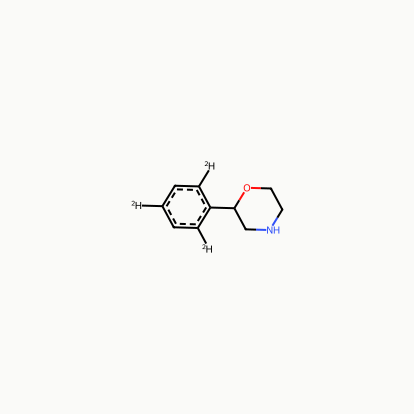 [2H]c1cc([2H])c(C2CNCCO2)c([2H])c1